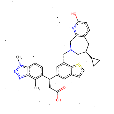 Cc1c([C@H](CC(=O)O)c2cc(CN3Cc4nc(O)ccc4C[C@@H](C4CC4)C3)c3sccc3c2)ccc2c1nnn2C